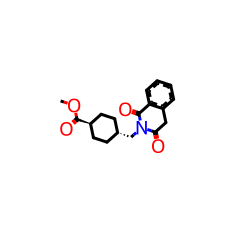 COC(=O)[C@H]1CC[C@H](CN2C(=O)Cc3ccccc3C2=O)CC1